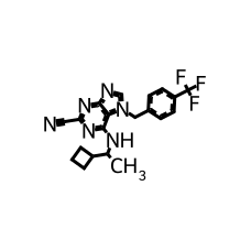 CC(Nc1nc(C#N)nc2ncn(Cc3ccc(C(F)(F)F)cc3)c12)C1CCC1